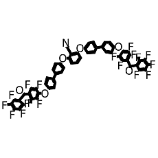 N#Cc1c(Oc2ccc(-c3ccc(Oc4c(F)c(F)c(C(=O)c5c(F)c(F)c(F)c(F)c5F)c(F)c4F)cc3)cc2)cccc1Oc1ccc(-c2ccc(Oc3c(F)c(F)c(C(=O)c4c(F)c(F)c(F)c(F)c4F)c(F)c3F)cc2)cc1